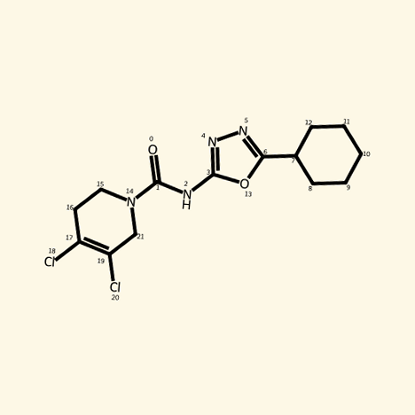 O=C(Nc1nnc(C2CCCCC2)o1)N1CCC(Cl)=C(Cl)C1